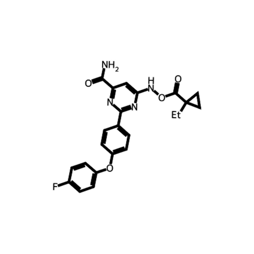 CCC1(C(=O)ONc2cc(C(N)=O)nc(-c3ccc(Oc4ccc(F)cc4)cc3)n2)CC1